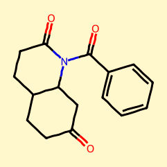 O=C1CCC2CCC(=O)N(C(=O)c3ccccc3)C2C1